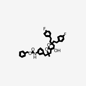 CC(C)(CC1=C(O)CC(CCc2ccc(F)cc2)(CCc2ccc(F)cc2)OC1=O)Cc1cccc(NC(=O)OCc2ccccc2)c1